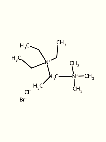 CC[N+](CC)(CC)CC.C[N+](C)(C)C.[Br-].[Cl-]